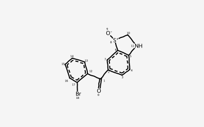 O=C(c1ccc2c(c1)[S+]([O-])CN2)c1ccccc1Br